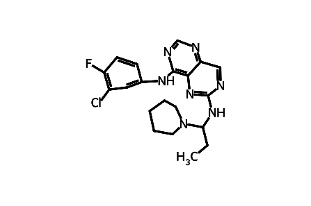 CCC(Nc1ncc2ncnc(Nc3ccc(F)c(Cl)c3)c2n1)N1CCCCC1